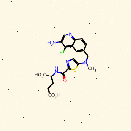 CN(Cc1ccc2ncc(N)c(Cl)c2c1)c1cnc(C(=O)N[C@@H](CCC(=O)O)C(=O)O)s1